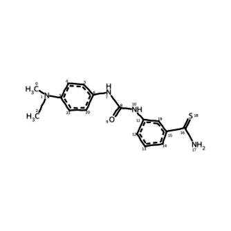 CN(C)c1ccc(NC(=O)Nc2cccc(C(N)=S)c2)cc1